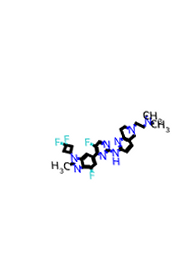 Cc1nc2c(F)cc(-c3nc(Nc4ccc5c(n4)CCN(CCN(C)C)C5)ncc3F)cc2n1C1CC(F)(F)C1